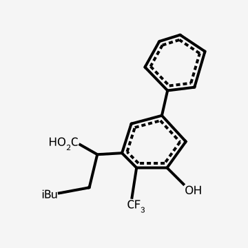 CCC(C)CC(C(=O)O)c1cc(-c2ccccc2)cc(O)c1C(F)(F)F